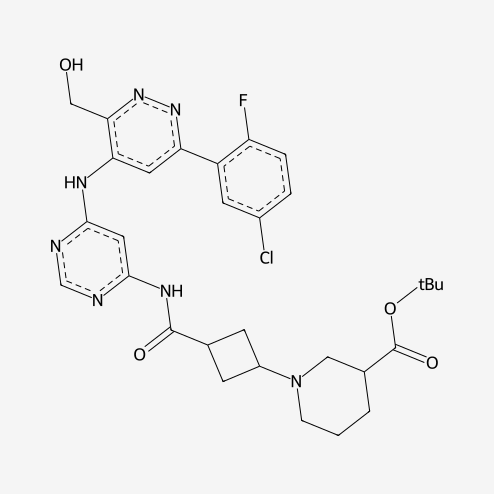 CC(C)(C)OC(=O)C1CCCN(C2CC(C(=O)Nc3cc(Nc4cc(-c5cc(Cl)ccc5F)nnc4CO)ncn3)C2)C1